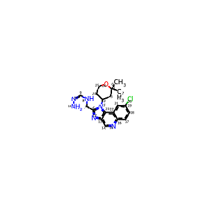 CC1(C)CC(n2c(CN/C=N\N)nc3cnc4ccc(Cl)cc4c32)CCO1